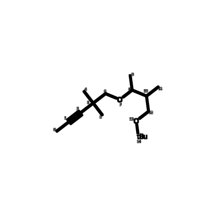 CC#CC(C)(C)COC(C)C(C)COC(C)(C)C